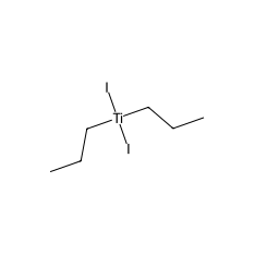 CC[CH2][Ti]([I])([I])[CH2]CC